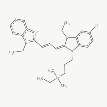 CCN1/C(=C\C=C\c2[se]c3ccccc3[n+]2CC)N(CCC[N+](C)(C)CC)c2ccc(Cl)cc21